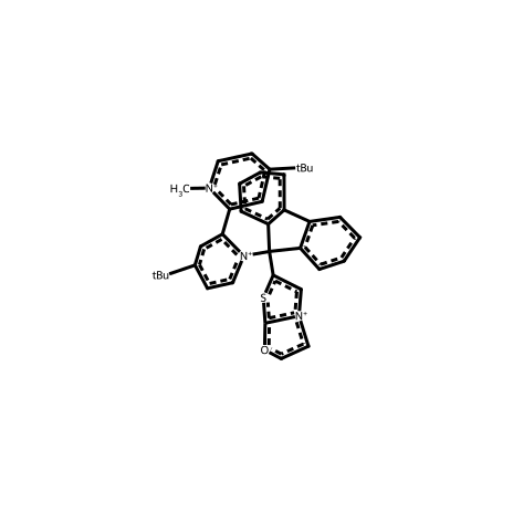 C[n+]1ccc(C(C)(C)C)cc1-c1cc(C(C)(C)C)cc[n+]1C1(c2c[n+]3ccoc3s2)c2ccccc2-c2ccccc21